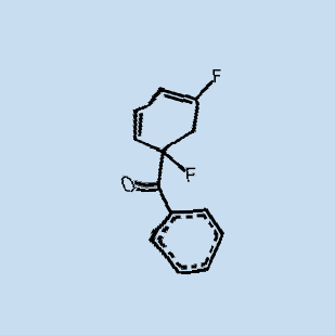 O=C(c1ccccc1)C1(F)C=CC=C(F)C1